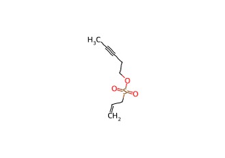 C=CCS(=O)(=O)OCCC#CC